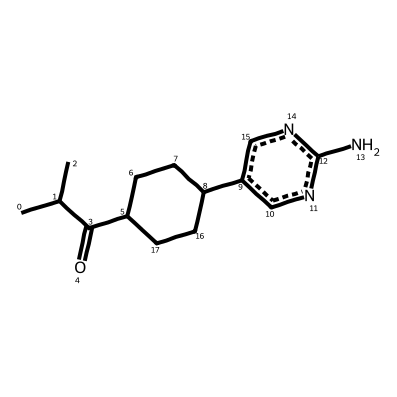 CC(C)C(=O)C1CCC(c2cnc(N)nc2)CC1